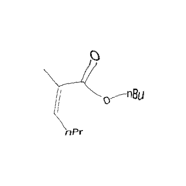 CCCC=C(C)C(=O)OCCCC